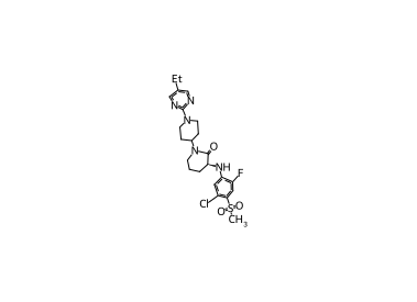 CCc1cnc(N2CCC(N3CCC[C@H](Nc4cc(Cl)c(S(C)(=O)=O)cc4F)C3=O)CC2)nc1